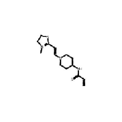 C=CC(=O)NC1CCN(C=CC2=[N+](C)CCS2)CC1